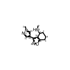 CNC1CCCc2onc(-c3cnn(C)c3)c21